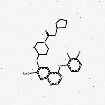 COc1cc2ncnc(Nc3cccc(Cl)c3F)c2cc1OC1CCN(C(=O)CN2CCCC2)CC1